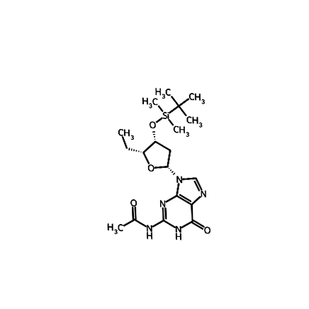 CC[C@H]1O[C@@H](n2cnc3c(=O)[nH]c(NC(C)=O)nc32)C[C@H]1O[Si](C)(C)C(C)(C)C